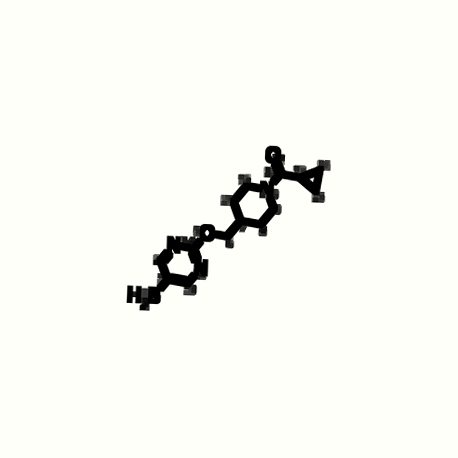 Bc1cnc(OCC2CCN(C(=O)C3CC3)CC2)nc1